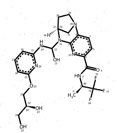 C[C@@H](NC(=O)c1ccc2c(n1)N(C(O)Nc1cccc(OC[C@@H](O)CO)n1)[C@H]1CCN2C1)C(F)(F)F